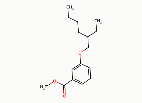 CCCCC(CC)COc1cccc(C(=O)OC)c1